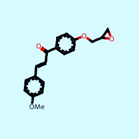 COc1ccc(C=CC(=O)c2ccc(OCC3CO3)cc2)cc1